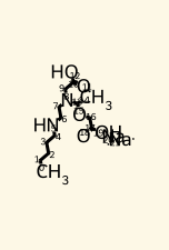 CCCCCNCCN(CC(=O)O)C(C)OCC(=O)O.[Na].[Na]